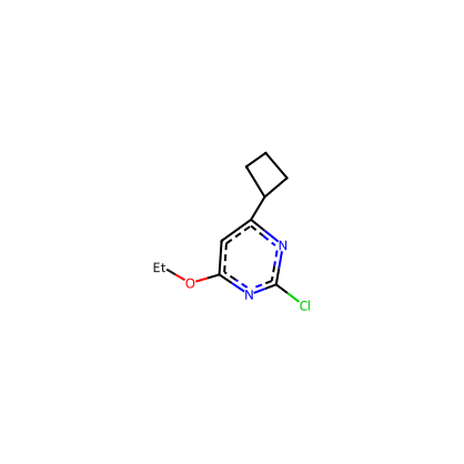 CCOc1cc(C2CCC2)nc(Cl)n1